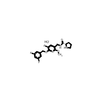 COc1nc(OCc2cc(F)cc(F)c2)c(F)cc1CNC(=O)[C@@H]1CCCN1.Cl